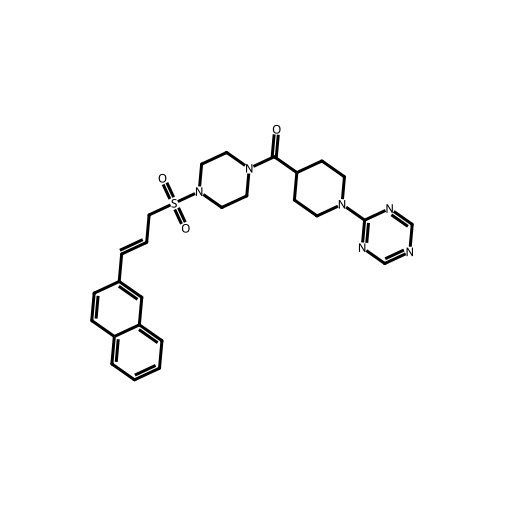 O=C(C1CCN(c2ncncn2)CC1)N1CCN(S(=O)(=O)CC=Cc2ccc3ccccc3c2)CC1